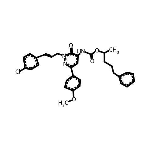 COc1ccc(-c2cc(NC(=O)OC(C)CCCc3ccccc3)c(=O)n(C/C=C/c3ccc(Cl)cc3)n2)cc1